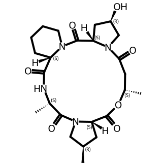 C[C@@H]1C[C@H]2C(=O)O[C@@H](C)CC(=O)N3C[C@H](O)C[C@H]3C(=O)N3CCCC[C@H]3C(=O)N[C@@H](C)C(=O)N2C1